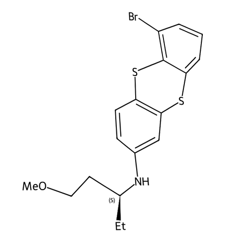 CC[C@@H](CCOC)Nc1ccc2c(c1)Sc1cccc(Br)c1S2